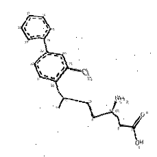 CC(CC[C@@H](N)CC(=O)O)c1ccc(-c2ccccc2)cc1Cl